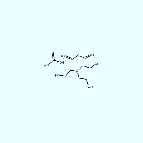 C=COC=C.O=C(O)O.OCCN(CCO)CCO